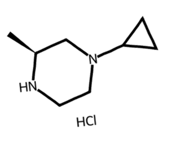 C[C@H]1CN(C2CC2)CCN1.Cl